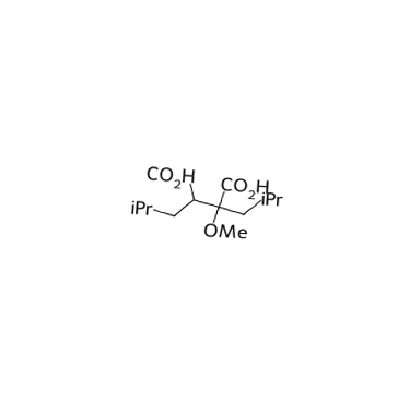 COC(CC(C)C)(C(=O)O)C(CC(C)C)C(=O)O